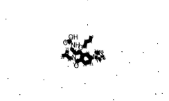 CCCCOc1c(CNC(=O)O)n(CC(C)C)c(=O)c2ccc(-n3cnnn3)cc12